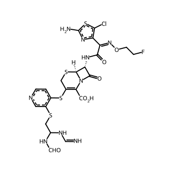 N=CNC(CSc1cnccc1SC1=C(C(=O)O)N2C(=O)[C@@H](NC(=O)/C(=N\OCCF)c3nc(N)sc3Cl)[C@@H]2SC1)NC=O